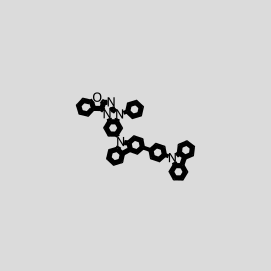 c1ccc(-n2c3cc(-n4c5ccccc5c5cc(-c6ccc(-n7c8ccccc8c8ccccc87)cc6)ccc54)ccc3n3c4c(nc23)oc2ccccc24)cc1